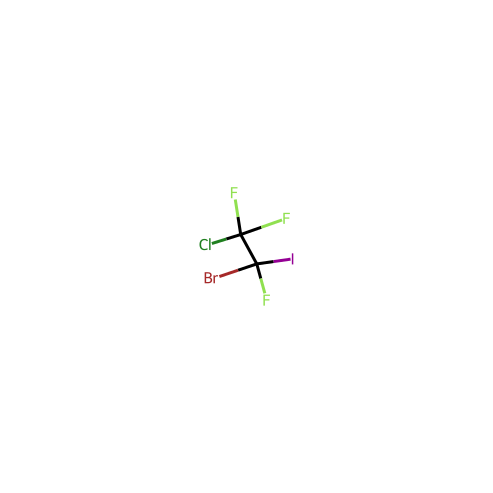 FC(F)(Cl)C(F)(Br)I